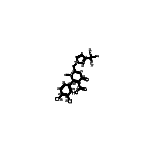 Cn1c(Cn2ccc(C(F)(F)F)n2)cc(=O)c(C(=O)O)c1-c1ccc(Cl)c(Cl)c1